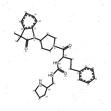 CC1(C)C(=O)N(C2CCN(C(=O)C(CCc3ccccc3)NC(=O)NCC3CCCN3)CC2)c2ccccc21